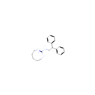 c1ccc(C(CN/C2=N/CCCCCN2)c2ccccc2)cc1